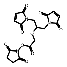 O=C(COC(CN1C(=O)C=CC1=O)CN1C(=O)C=CC1=O)ON1C(=O)CCC1=O